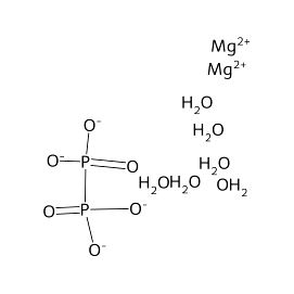 O.O.O.O.O.O.O=P([O-])([O-])P(=O)([O-])[O-].[Mg+2].[Mg+2]